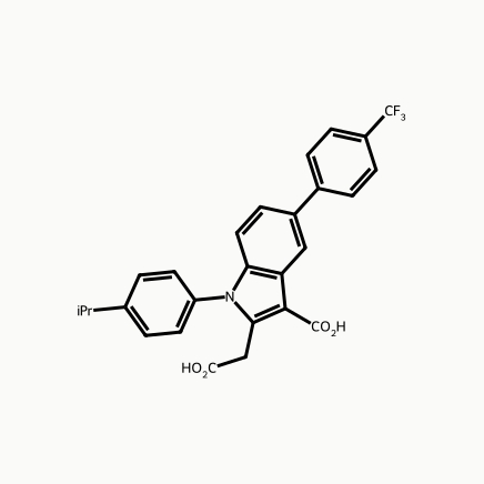 CC(C)c1ccc(-n2c(CC(=O)O)c(C(=O)O)c3cc(-c4ccc(C(F)(F)F)cc4)ccc32)cc1